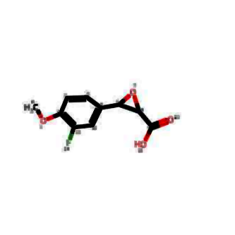 COc1ccc(C2OC2C(=O)O)cc1F